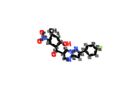 Cc1cc(O)c(C(=O)c2cnc3cc(-c4ccc(F)cc4)nn3c2)cc1[N+](=O)[O-]